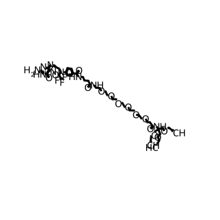 C#CCOCC(COCC#C)(COCC#C)NC(=O)CCOCCOCCOCCOCCOCCOCCNC(=O)CCCNC(=O)c1ccc(N(Cc2cnc3nc(N)[nH]c(=O)c3n2)C(=O)C(F)(F)F)cc1